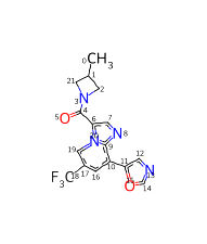 CC1CN(C(=O)c2cnc3c(-c4cnco4)cc(C(F)(F)F)cn23)C1